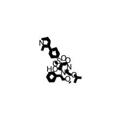 COCC(c1ccccc1)n1c(COC(C)C)nc(=O)c(S(=O)(=O)c2ccc(-c3cccnc3C)cc2)c1O